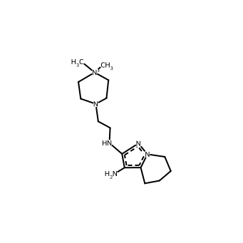 C[N+]1(C)CCN(CCNc2nn3c(c2N)CCCC3)CC1